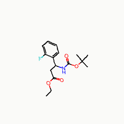 CCOC(=O)CC(NC(=O)OC(C)(C)C)c1ccccc1F